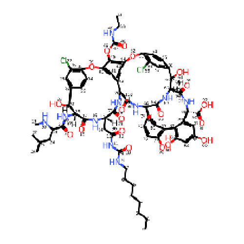 CCCCCCCCNC(=O)NC(=O)C[C@@H]1NC(=O)[C@H](NC(=O)[C@@H](CC(C)C)NC)[C@H](O)c2ccc(c(Cl)c2)Oc2cc3cc(c2OC(=O)NCC)Oc2ccc(cc2Cl)[C@@H](O)[C@@H]2NC(=O)[C@H](NC(=O)[C@@H]3NC1=O)c1ccc(O)c(c1)-c1c(O)cc(O)cc1[C@@H](C(=O)O)NC2=O